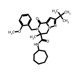 COc1ccccc1CN1C(=O)c2cc(C(C)(C)C)nn2CC1(C)C(=O)NC1CCCCCC1